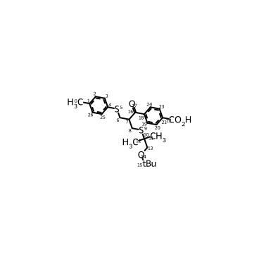 Cc1ccc(SCC(CSC(C)(C)COC(C)(C)C)C(=O)c2ccc(C(=O)O)cc2)cc1